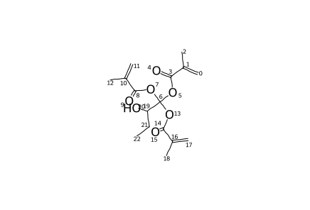 C=C(C)C(=O)OC(OC(=O)C(=C)C)(OC(=O)C(=C)C)C(O)CC